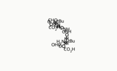 CC(C)(C)c1nn(-c2cc(OC=O)cc(C(=O)O)c2)c(N)c1N=Nc1ccc(NC(=O)Nc2ccc(N=Nc3c(C(C)(C)C)nn(-c4cc(OC=O)cc(C(=O)O)c4)c3N)cc2)cc1